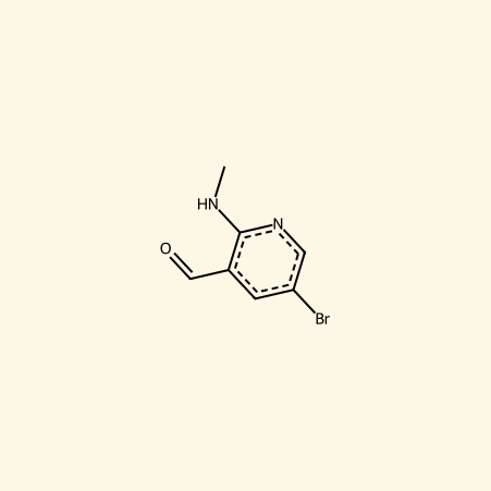 CNc1ncc(Br)cc1C=O